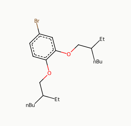 CCCCC(CC)COc1ccc(Br)cc1OCC(CC)CCCC